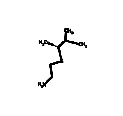 CC(C)[C@@H](C)SCCN